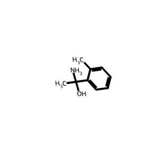 Cc1ccccc1C(C)(N)O